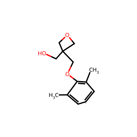 Cc1c[c]cc(C)c1OCC1(CO)COC1